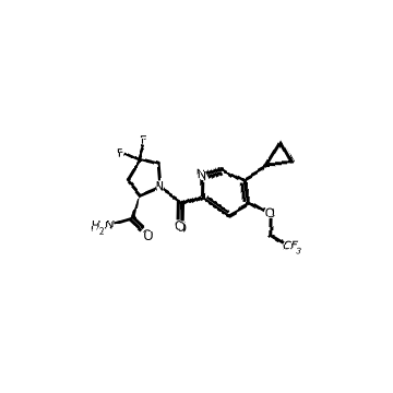 NC(=O)[C@H]1CC(F)(F)CN1C(=O)c1cc(OCC(F)(F)F)c(C2CC2)cn1